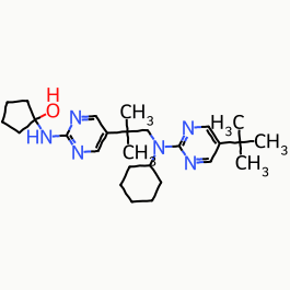 CC(C)(C)c1cnc(N(CC(C)(C)c2cnc(NC3(O)CCCC3)nc2)C2CCCCC2)nc1